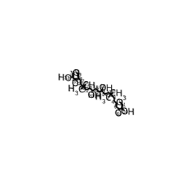 CC(C)(CCc1cc(=O)c(O)co1)CCC(O)CCC(O)CCC(C)(C)CCc1cocc(O)c1=O